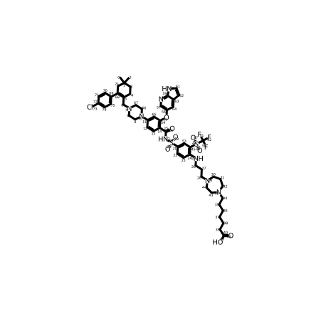 CC1(C)CCC(CN2CCN(c3ccc(C(=O)NS(=O)(=O)c4ccc(NCCCN5CCCN(CCCCCCC(=O)O)CC5)c(S(=O)(=O)C(F)(F)F)c4)c(Oc4cnc5[nH]ccc5c4)c3)CC2)=C(c2ccc(Cl)cc2)C1